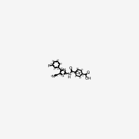 N#Cc1sc(NC(=O)C23CCC(C(=O)O)(CC2)CC3)nc1-c1cccc(F)c1